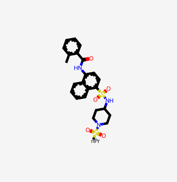 CCCS(=O)(=O)N1CCC(NS(=O)(=O)c2ccc(NC(=O)c3ccccc3C)c3ccccc23)CC1